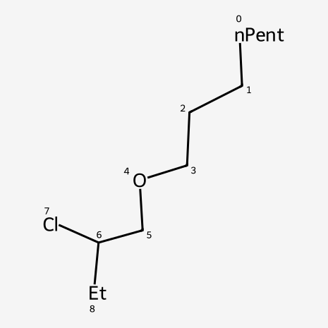 [CH2]CCCCCCCOCC(Cl)CC